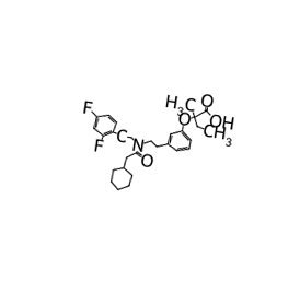 CCC(C)(Oc1cccc(CCN(CCc2ccc(F)cc2F)C(=O)CC2CCCCC2)c1)C(=O)O